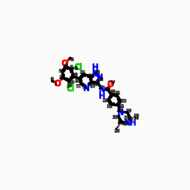 COc1cc(OC)c(Cl)c(-c2cnc3c(NC(=O)c4ccc(N5C[C@@H](C)N[C@@H](C)C5)cc4)n[nH]c3c2)c1Cl